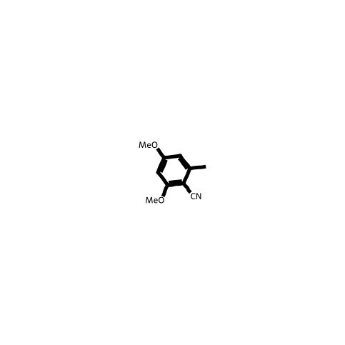 COc1cc(C)c(C#N)c(OC)c1